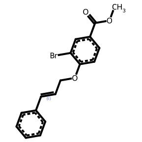 COC(=O)c1ccc(OC/C=C/c2ccccc2)c(Br)c1